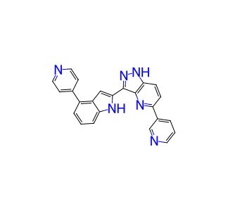 c1cncc(-c2ccc3[nH]nc(-c4cc5c(-c6ccncc6)cccc5[nH]4)c3n2)c1